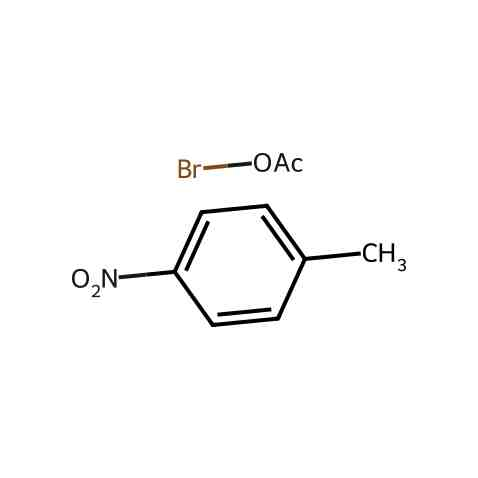 CC(=O)OBr.Cc1ccc([N+](=O)[O-])cc1